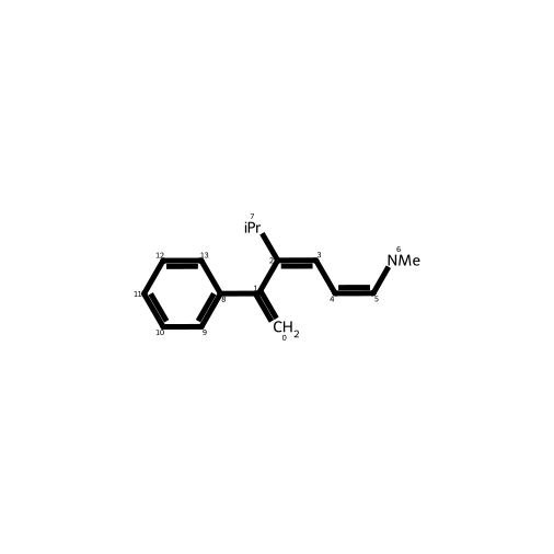 C=C(/C(=C\C=C/NC)C(C)C)c1ccccc1